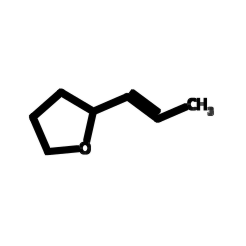 C/C=C/C1CCCO1